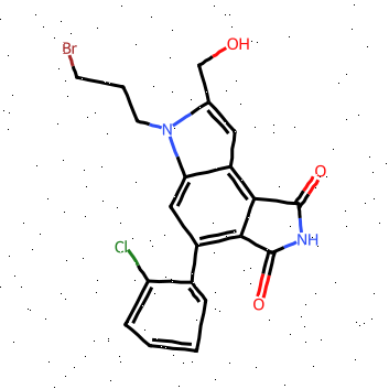 O=C1NC(=O)c2c1c(-c1ccccc1Cl)cc1c2cc(CO)n1CCCBr